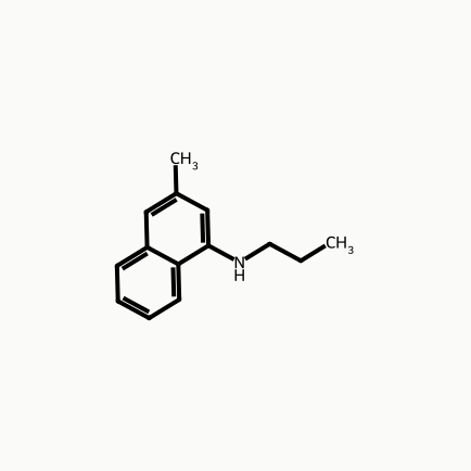 CCCNc1cc(C)cc2ccccc12